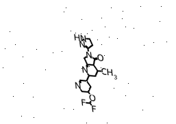 CC1CC(C2C=NCC(OC(F)F)C2)N=C2CN(C3=NNCC3)C(=O)C21